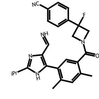 Cc1cc(C)c(-c2[nH]c(C(C)C)nc2C=N)cc1C(=O)N1CC(F)(c2ccc(C#N)cc2)C1